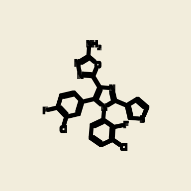 Nc1nnc(-c2nc(-c3ccsc3)n(-c3cccc(Cl)c3F)c2-c2ccc(F)c(Cl)c2)o1